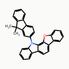 CC1(C)c2ccccc2-c2ccc(-n3c4ccccc4c4ccc5c6ccccc6oc5c43)cc21